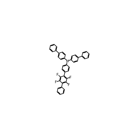 Fc1c(F)c(-c2ccc(N(c3ccc(-c4ccccc4)cc3)c3ccc(-c4ccccc4)cc3)cc2)c(F)c(F)c1-c1ccccc1